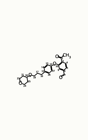 CC(=O)c1ccc(C=O)cc1Oc1ccc(CCCOC2CCOCC2)cc1